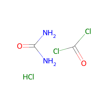 Cl.NC(N)=O.O=C(Cl)Cl